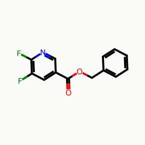 O=C(OCc1ccccc1)c1cnc(F)c(F)c1